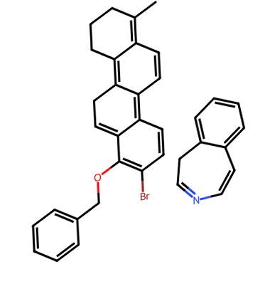 C1=Cc2ccccc2CC=N1.CC1=c2ccc3c(c2CCC1)CC=c1c(OCc2ccccc2)c(Br)ccc1=3